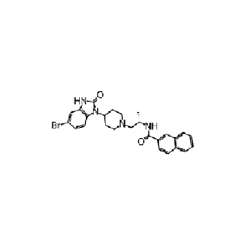 C[C@@H](CN1CCC(n2c(=O)[nH]c3cc(Br)ccc32)CC1)NC(=O)c1ccc2ccccc2c1